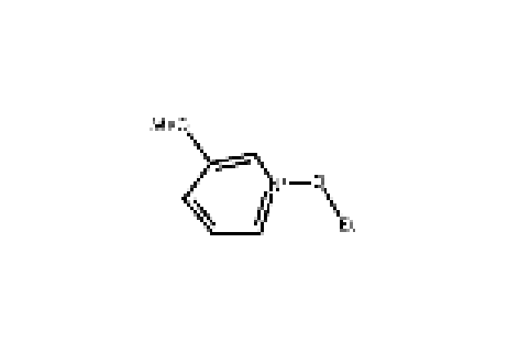 CCO[n+]1cccc(OC)c1